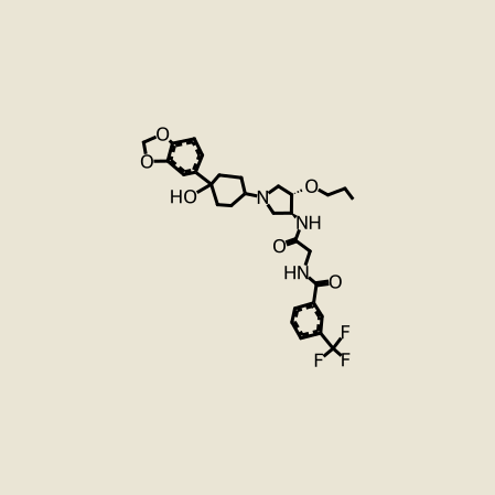 CCCO[C@H]1CN(C2CCC(O)(c3ccc4c(c3)OCO4)CC2)C[C@@H]1NC(=O)CNC(=O)c1cccc(C(F)(F)F)c1